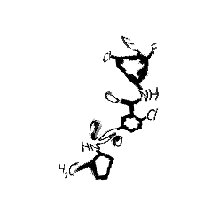 CC1CCCC1NS(=O)(=O)c1ccc(Cl)c(C(=O)Nc2cc(F)c(F)c(Cl)c2)c1